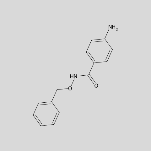 Nc1ccc(C(=O)NOCc2ccccc2)cc1